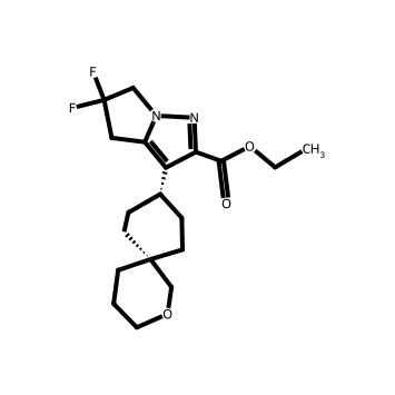 CCOC(=O)c1nn2c(c1[C@H]1CC[C@]3(CCCOC3)CC1)CC(F)(F)C2